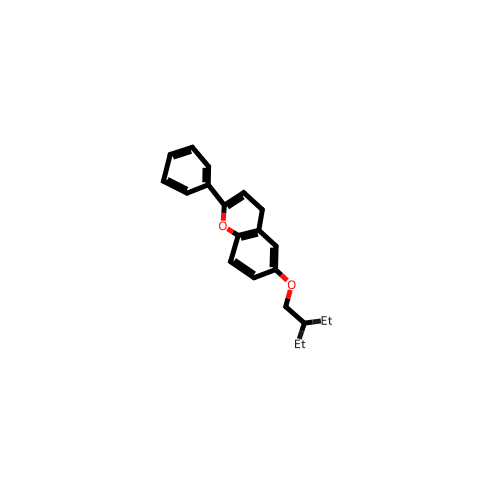 CCC(CC)COc1ccc2c(c1)CC=C(c1ccccc1)O2